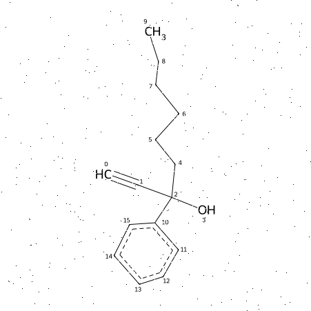 C#CC(O)(CCCCCC)c1ccccc1